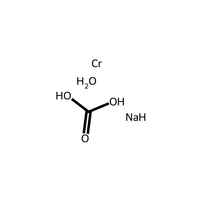 O.O=C(O)O.[Cr].[NaH]